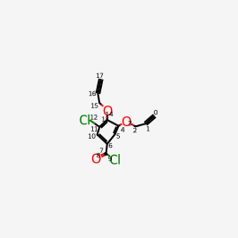 C#CCOc1cc(C(=O)Cl)cc(Cl)c1OCC#C